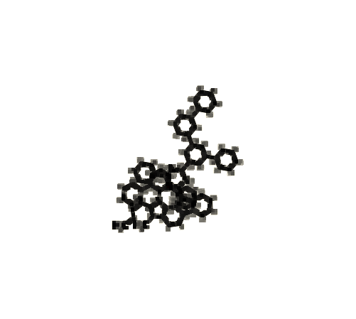 C=C/C=C\c1c(C)c2ccc3c4ccccc4n(-c4nc(-c5ccccc5)nc(-c5cc(-c6ccccc6)cc(-c6cccc(-c7ccccc7)c6)c5)n4)c3c2n1-c1c(-c2ccccc2)cccc1-c1ccccc1